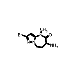 CN1C(=O)C(N)CCn2nc(Br)cc21